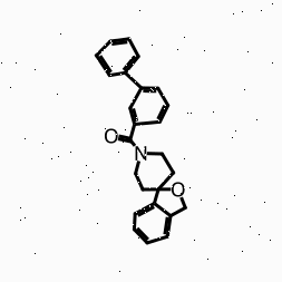 O=C(c1cccc(-c2ccccc2)c1)N1CCC2(CC1)OCc1ccccc12